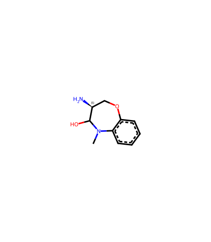 CN1c2ccccc2OC[C@H](N)C1O